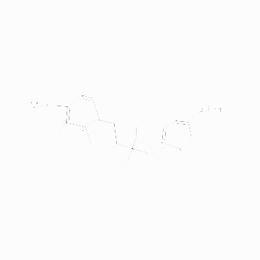 CCCCCc1ccc(OC(F)(F)CCc2ccc(OC)c(F)c2F)cc1